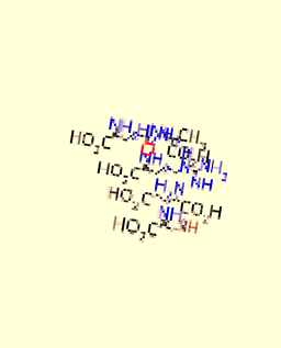 C[C@H](N)C(=O)O.N=C(N)NCCC[C@H](N)C(=O)O.NC(=O)CC[C@H](N)C(=O)O.NC(CCC(=O)O)C(=O)O.N[C@@H](CS)C(=O)O